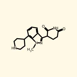 Cn1nc(C2CCC(=O)NC2=O)c2cccc(C3CCNCC3)c21